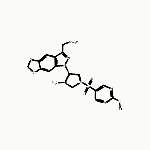 CCOc1ncc(S(=O)(=O)N2C[C@@H](C)[C@@H](n3nc(CC(=O)O)c4cc5c(cc43)OCO5)C2)cn1